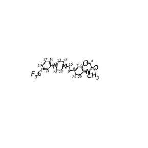 CN1C(=O)COc2cc(CCN3CCN(c4cccc(C(F)(F)F)c4)CC3)ccc21